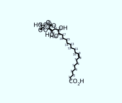 O=C(O)CCCCCCC/C=C\CCCCCCCCC(O)[C@H](O)[C@H]1OC(=O)C(OP(=O)(O)O)=C1O